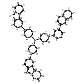 c1cc(-c2ccc(N(c3ccc(-c4ccc5oc6ccccc6c5c4)cc3)c3ccc(-c4ccc5sc6ccccc6c5c4)cc3)cc2)cc(-c2ccc3ccccc3c2)c1